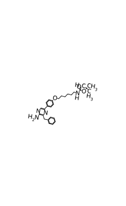 CC(C)(C)OC(=O)NCCCCCCOc1ccc(-c2cnc(N)c(Cc3ccccc3)n2)cc1